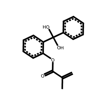 C=C(C)C(=O)Oc1ccccc1C(O)(O)c1ccccc1